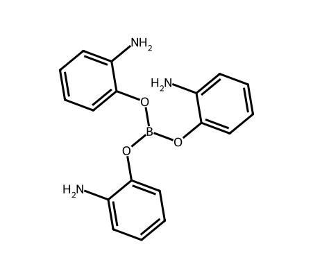 Nc1ccccc1OB(Oc1ccccc1N)Oc1ccccc1N